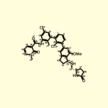 COc1nc(-c2cccc(-c3cc(Cl)cc(NC(=O)c4ccnn(C)c4=O)c3C)c2Cl)cc2c1[C@@H](NC[C@@H]1CCC(=O)N1)CC2